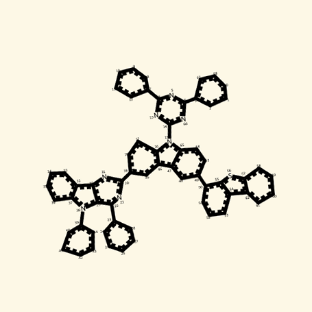 c1ccc(-c2nc(-c3ccccc3)nc(-n3c4ccc(-c5nc(-c6ccccc6)c6c(n5)c5ccccc5n6-c5ccccc5)cc4c4cc(-c5cccc6c5sc5ccccc56)ccc43)n2)cc1